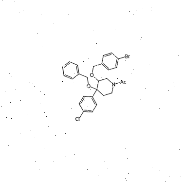 CC(=O)N1CCC(OCc2ccccc2)(c2ccc(Cl)cc2)C(OCc2ccc(Br)cc2)C1